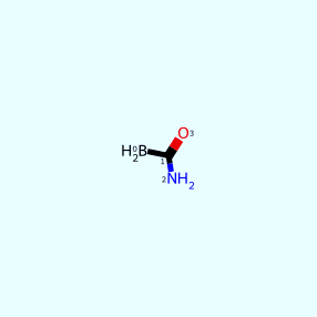 BC(N)=O